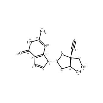 C#C[C@]1(CO)O[C@@H](n2cnc3c(=O)[nH]c(N)nc32)CC1O